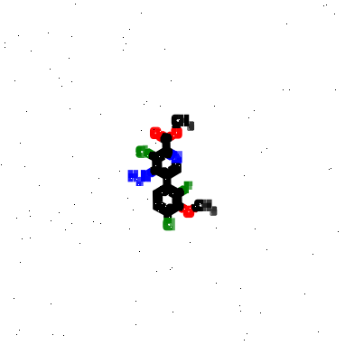 COC(=O)c1ncc(-c2ccc(Cl)c(OC)c2F)c(N)c1Cl